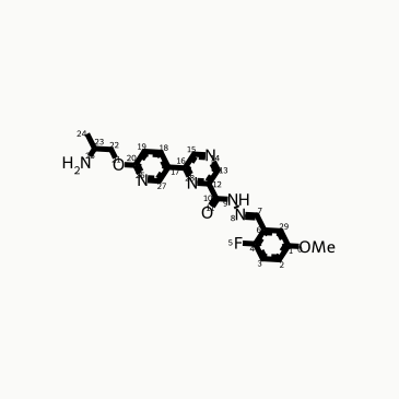 COc1ccc(F)c(/C=N/NC(=O)c2cncc(-c3ccc(OCC(C)N)nc3)n2)c1